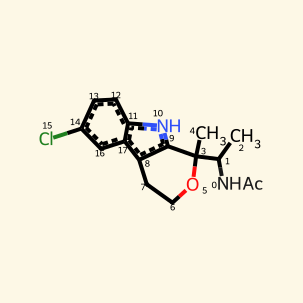 CC(=O)NC(C)C1(C)OCCc2c1[nH]c1ccc(Cl)cc21